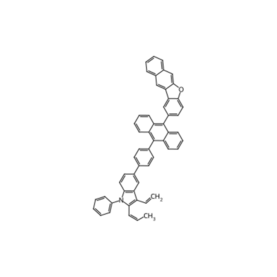 C=Cc1c(/C=C\C)n(-c2ccccc2)c2ccc(-c3ccc(-c4c5ccccc5c(-c5ccc6oc7cc8ccccc8cc7c6c5)c5ccccc45)cc3)cc12